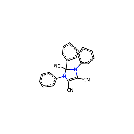 N#CC1=C(C#N)N(c2ccccc2)C(C#N)(c2ccccc2)N1c1ccccc1